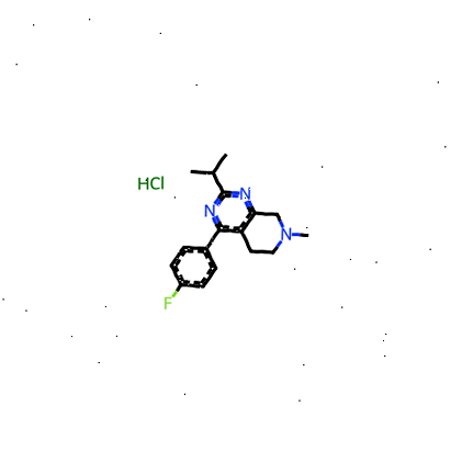 CC(C)c1nc2c(c(-c3ccc(F)cc3)n1)CCN(C)C2.Cl